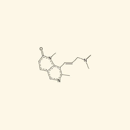 Cc1ncc2ccc(=O)n(C)c2c1C=CCN(C)C